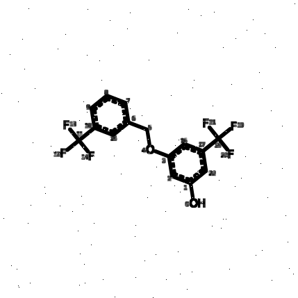 Oc1cc(OCc2cccc(C(F)(F)F)c2)cc(C(F)(F)F)c1